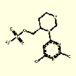 CS(=O)(=O)OC[C@H]1CCOCN1c1cc(Cl)nc(Cl)n1